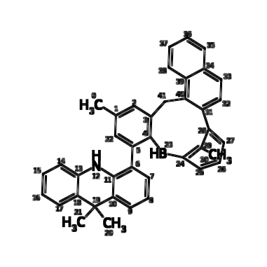 Cc1cc2c(c(-c3cccc4c3Nc3ccccc3C4(C)C)c1)Bc1cccc(c1C)-c1ccc3ccccc3c1C2